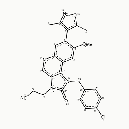 COc1cc2c(cc1-c1c(C)noc1C)ncc1c2n(Cc2ccc(Cl)cc2)c(=O)n1CCC#N